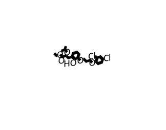 CCOC(=O)C(Cc1cccc(OCCCOc2ccc(Cl)cc2Cl)c1O)OC(C)C